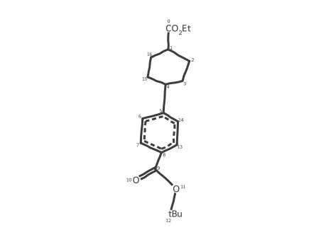 CCOC(=O)C1CCC(c2ccc(C(=O)OC(C)(C)C)cc2)CC1